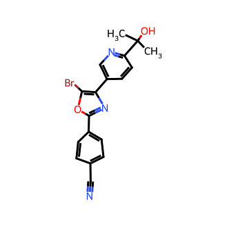 CC(C)(O)c1ccc(-c2nc(-c3ccc(C#N)cc3)oc2Br)cn1